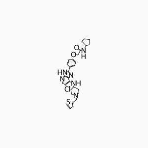 O=C(COc1ccc(-c2nc3c(NC4CCN(Cc5cccs5)CC4)c(Cl)cnc3[nH]2)cc1)NC1CCCC1